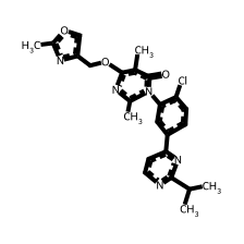 Cc1nc(COc2nc(C)n(-c3cc(-c4ccnc(C(C)C)n4)ccc3Cl)c(=O)c2C)co1